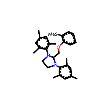 CSc1ccccc1OCC1N(c2c(C)cc(C)cc2C)CCN1c1c(C)cc(C)cc1C